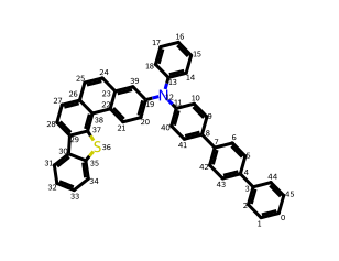 c1ccc(-c2ccc(-c3ccc(N(c4ccccc4)c4ccc5c(ccc6ccc7c8ccccc8sc7c65)c4)cc3)cc2)cc1